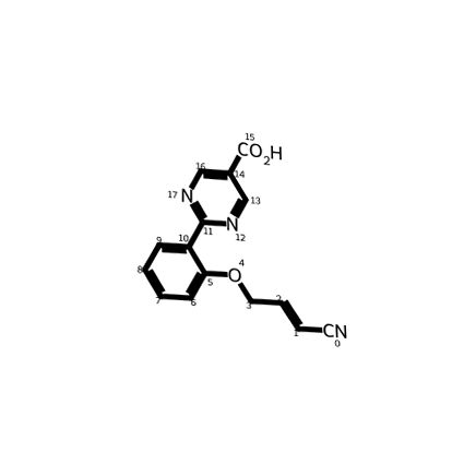 N#CC=CCOc1ccccc1-c1ncc(C(=O)O)cn1